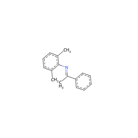 CC(=Nc1c(C)cccc1C)c1ccccc1